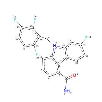 NC(=O)c1cccc2c1c1[c]cc(F)cc1n2Cc1c(F)ccc(F)c1F